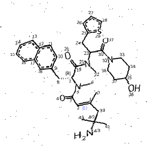 C/C(=C\C(=O)N(C)[C@H](Cc1ccc2ccccc2c1)C(=O)N(C)C(Cc1cccs1)C(=O)N1CCC(O)CC1)CC(C)(C)N